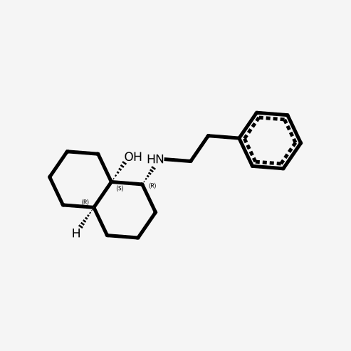 O[C@@]12CCCC[C@@H]1CCC[C@H]2NCCc1ccccc1